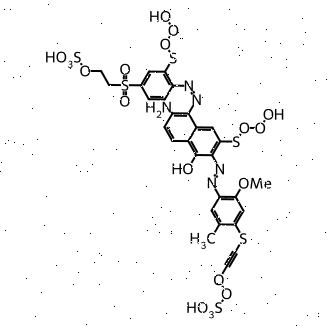 COc1cc(SC#COOS(=O)(=O)O)c(C)cc1N=Nc1c(SOOO)cc2c(/N=N\c3ccc(S(=O)(=O)CCOS(=O)(=O)O)cc3SOOO)c(N)ccc2c1O